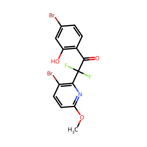 COc1ccc(Br)c(C(F)(F)C(=O)c2ccc(Br)cc2O)n1